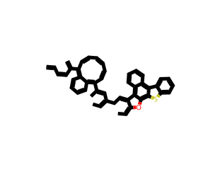 C=C/C=C\C(=C)c1ccccccc(/C(C)=C/C(=C\C)C/C=c2\c(=C/C)oc3c4sc5ccccc5c4c4ccccc4c23)c2ccccc12